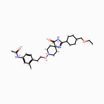 CCOCC1CCC(C2=NC3(CCN(OCCc4ccc(NC(C)=O)cc4C)CC3)C(=O)N2)CC1